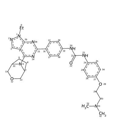 CCn1ncc2c(N3C4CCC3COC4)nc(-c3ccc(NC(=O)Nc4ccc(OCCN(C)C)cc4)cc3)nc21